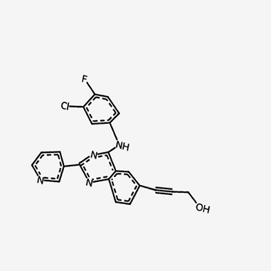 OCC#Cc1ccc2nc(-c3cccnc3)nc(Nc3ccc(F)c(Cl)c3)c2c1